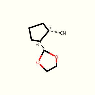 N#C[C@H]1CCC[C@H]1C1OCCO1